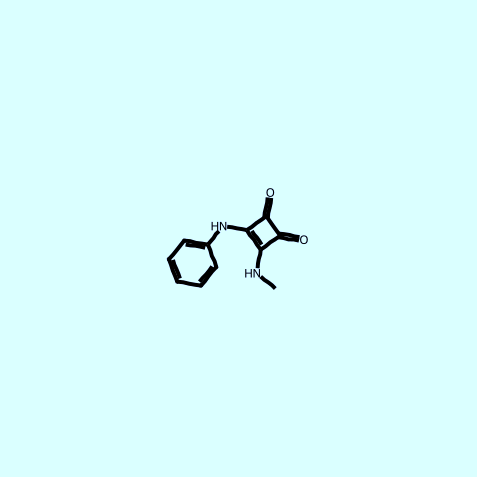 CNc1c(Nc2ccccc2)c(=O)c1=O